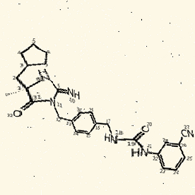 C[C@]1(CC2CCCC2)NC(=N)N(Cc2ccc(CNC(=O)Nc3cccc(C#N)c3)cc2)C1=O